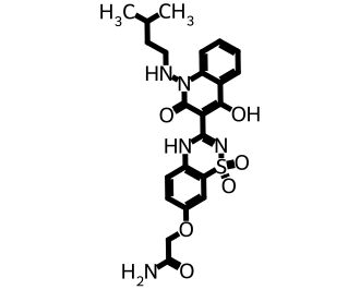 CC(C)CCNn1c(=O)c(C2=NS(=O)(=O)c3cc(OCC(N)=O)ccc3N2)c(O)c2ccccc21